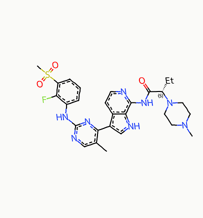 CC[C@@H](C(=O)Nc1nccc2c(-c3nc(Nc4cccc(S(C)(=O)=O)c4F)ncc3C)c[nH]c12)N1CCN(C)CC1